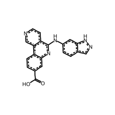 O=C(O)c1ccc2c(c1)nc(Nc1ccc3cn[nH]c3c1)c1ccncc12